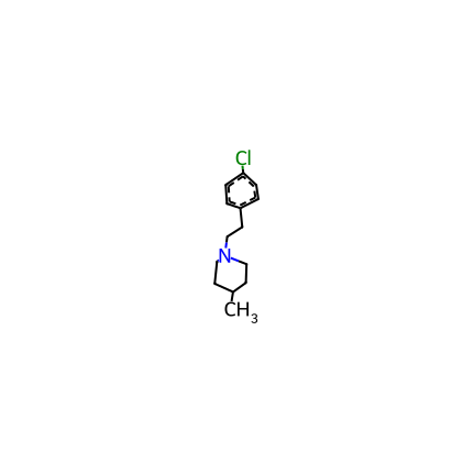 CC1CCN(CCc2ccc(Cl)cc2)CC1